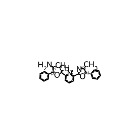 C=C(O[C@@H](c1ccccc1)[C@H](C)N)c1cccc(C2=N[C@@H](C)[C@H](c3ccccc3)O2)n1